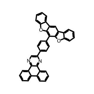 c1ccc2c(c1)oc1c(-c3ccc(-c4cnc5c6ccccc6c6ccccc6c5n4)cc3)c3oc4ccccc4c3cc12